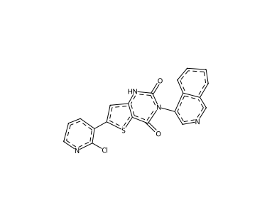 O=c1[nH]c2cc(-c3cccnc3Cl)sc2c(=O)n1-c1cncc2ccccc12